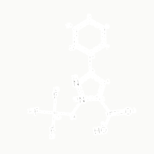 O=C(O)c1cc(-c2ccccc2)nn1CC(F)(F)F